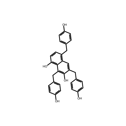 Oc1ccc(Cc2cc3c(Cc4ccc(O)cc4)ccc(O)c3c(Cc3ccc(O)cc3)c2O)cc1